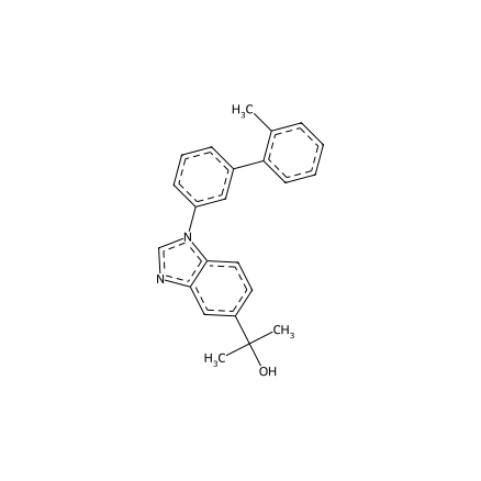 Cc1ccccc1-c1cccc(-n2cnc3cc(C(C)(C)O)ccc32)c1